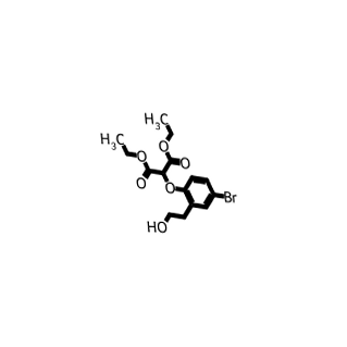 CCOC(=O)C(Oc1ccc(Br)cc1CCO)C(=O)OCC